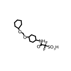 O=C(NC1CCC(OCOC2CCCCC2)CC1)C(F)(F)S(=O)(=O)O